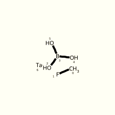 CF.OB(O)O.[Ta]